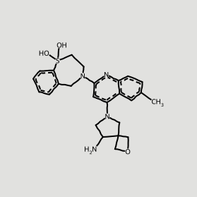 Cc1ccc2nc(N3CCS(O)(O)c4ccccc4C3)cc(N3CC(N)C4(COC4)C3)c2c1